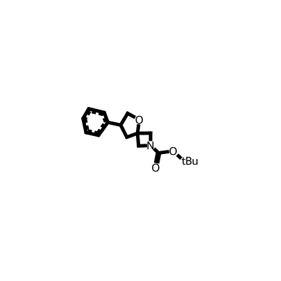 CC(C)(C)OC(=O)N1CC2(CC(c3ccccc3)CO2)C1